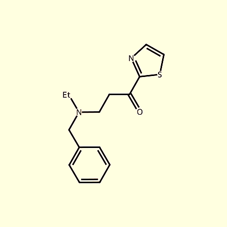 CCN(CCC(=O)c1nccs1)Cc1ccccc1